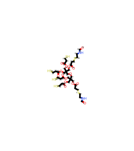 O=CNCCSCCC(=O)OCC(COCC(COC(=O)CCS)(COC(=O)CCS)COC(=O)CCSCCNC=O)(COC(=O)CCS)COC(=O)CCS